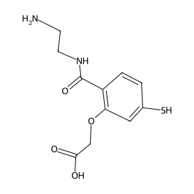 NCCNC(=O)c1ccc(S)cc1OCC(=O)O